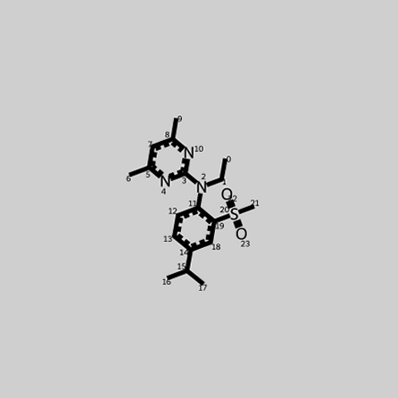 CCN(c1nc(C)cc(C)n1)c1ccc(C(C)C)cc1S(C)(=O)=O